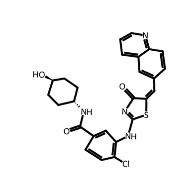 O=C1N=C(Nc2cc(C(=O)N[C@H]3CC[C@H](O)CC3)ccc2Cl)SC1=Cc1ccc2ncccc2c1